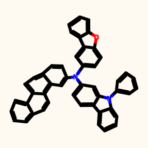 c1ccc(-n2c3ccccc3c3ccc(N(c4ccc5ccc6c7ccccc7ccc6c5c4)c4ccc5oc6ccccc6c5c4)cc32)cc1